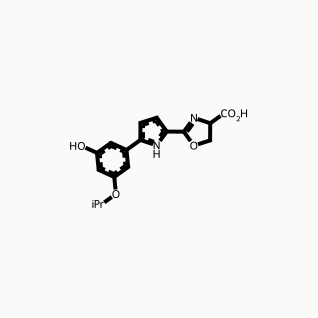 CC(C)Oc1cc(O)cc(-c2ccc(C3=NC(C(=O)O)CO3)[nH]2)c1